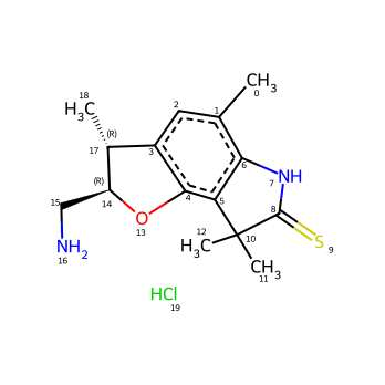 Cc1cc2c(c3c1NC(=S)C3(C)C)O[C@@H](CN)[C@@H]2C.Cl